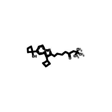 CC(C)(C)CC(=O)CCCCc1nn2ccc(C3(O)CCC3)cc2c1C1CCC1